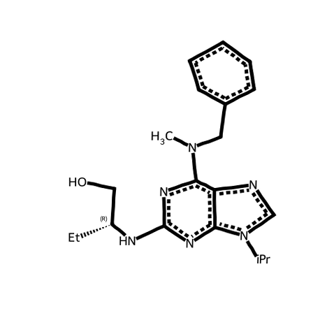 CC[C@H](CO)Nc1nc(N(C)Cc2ccccc2)c2ncn(C(C)C)c2n1